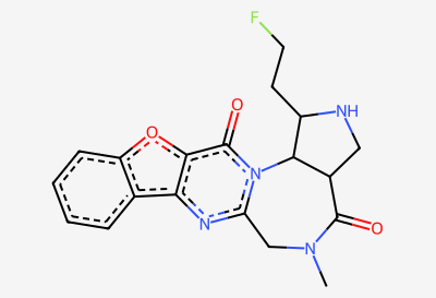 CN1Cc2nc3c(oc4ccccc43)c(=O)n2C2C(CCF)NCC2C1=O